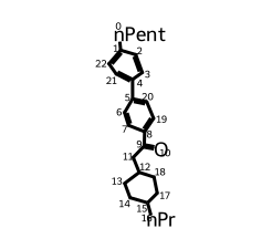 CCCCCc1ccc(-c2ccc(C(=O)CC3CCC(CCC)CC3)cc2)cc1